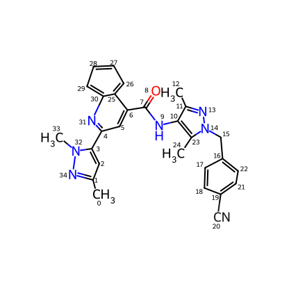 Cc1cc(-c2cc(C(=O)Nc3c(C)nn(Cc4ccc(C#N)cc4)c3C)c3ccccc3n2)n(C)n1